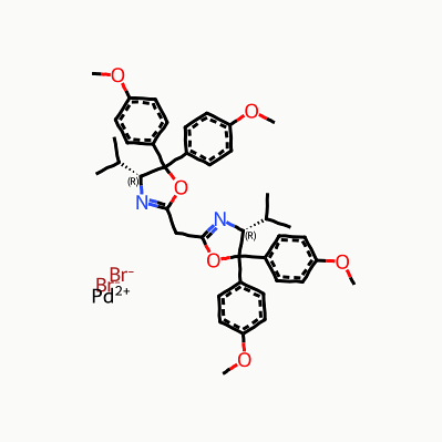 COc1ccc(C2(c3ccc(OC)cc3)OC(CC3=N[C@H](C(C)C)C(c4ccc(OC)cc4)(c4ccc(OC)cc4)O3)=N[C@@H]2C(C)C)cc1.[Br-].[Br-].[Pd+2]